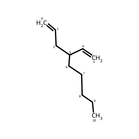 C=CC[C](C=C)CCCCC